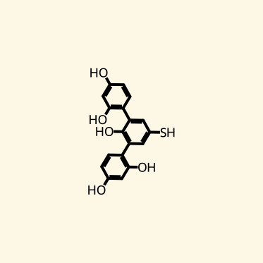 Oc1ccc(-c2cc(S)cc(-c3ccc(O)cc3O)c2O)c(O)c1